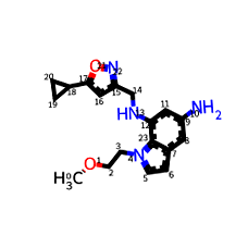 COCCn1ccc2cc(N)cc(NCc3cc(C4CC4)on3)c21